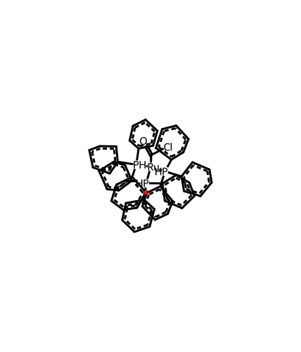 O=[C](Cl)[Ru]([PH](c1ccccc1)(c1ccccc1)c1ccccc1)([PH](c1ccccc1)(c1ccccc1)c1ccccc1)[PH](c1ccccc1)(c1ccccc1)c1ccccc1